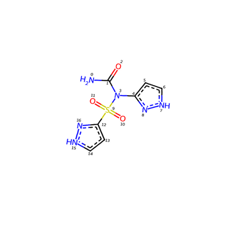 NC(=O)N(c1cc[nH]n1)S(=O)(=O)c1cc[nH]n1